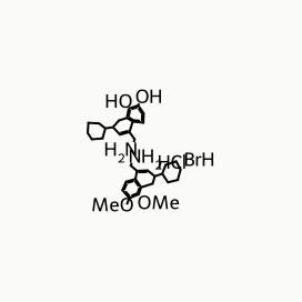 Br.COc1ccc2c(c1OC)CC(C1CCCCC1)C=C2CN.Cl.NCC1=CC(C2CCCCC2)Cc2c1ccc(O)c2O